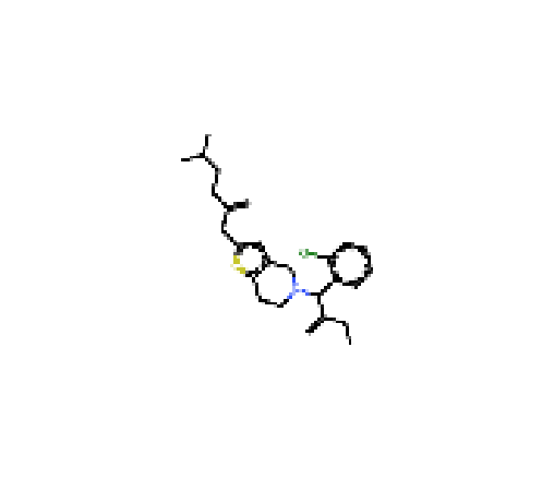 C=C(CCC(C)C)Cc1cc2c(s1)CCN(C(C(=C)CC)c1ccccc1Cl)C2